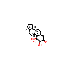 C[C@@]12CCC[C@H]1[C@@H]1CCC3=CC(=O)C(O)C(O)(O)[C@]3(C)[C@H]1CC2